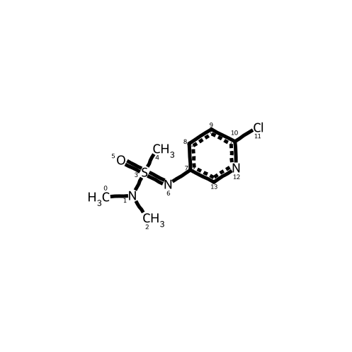 CN(C)S(C)(=O)=Nc1ccc(Cl)nc1